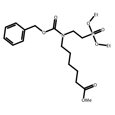 CCOP(=O)(CCN(CCCCCC(=O)OC)C(=O)OCc1ccccc1)OCC